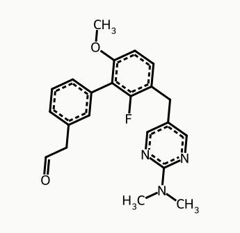 COc1ccc(Cc2cnc(N(C)C)nc2)c(F)c1-c1cccc(CC=O)c1